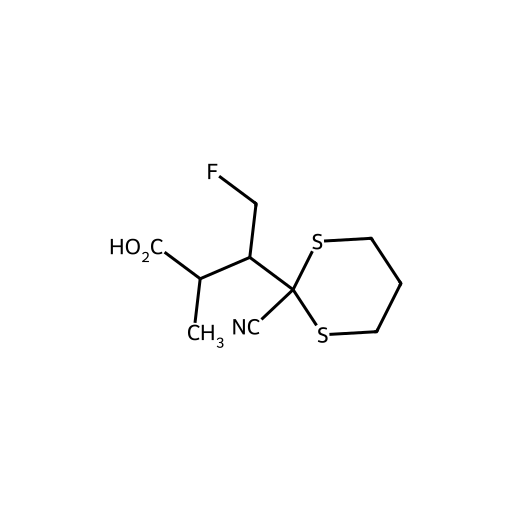 CC(C(=O)O)C(CF)C1(C#N)SCCCS1